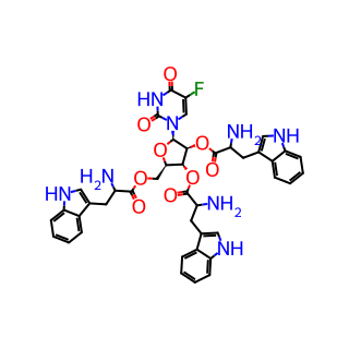 NC(Cc1c[nH]c2ccccc12)C(=O)OC[C@H]1O[C@@H](n2cc(F)c(=O)[nH]c2=O)[C@@H](OC(=O)C(N)Cc2c[nH]c3ccccc23)[C@H]1OC(=O)C(N)Cc1c[nH]c2ccccc12